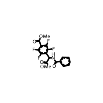 COC(=O)c1c(F)c(F)c(C(NC(=O)c2ccccc2)C(=O)OC)c(F)c1F